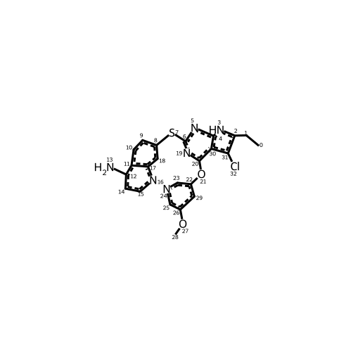 CCc1[nH]c2nc(Sc3ccc4c(N)ccnc4c3)nc(Oc3cncc(OC)c3)c2c1Cl